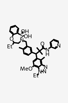 CCC1CN(Cc2cc(C(c3cc(OC)c4c(nnn4CC)c3C)C(C)(C)C(=O)Nc3cccnc3)ccc2C)S(O)(O)c2ccccc2O1